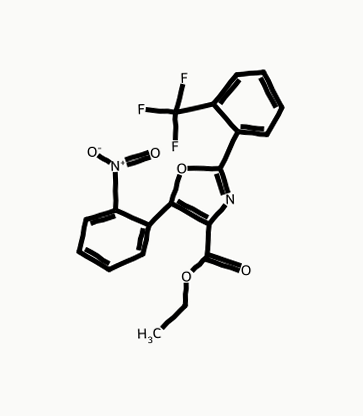 CCOC(=O)c1nc(-c2ccccc2C(F)(F)F)oc1-c1ccccc1[N+](=O)[O-]